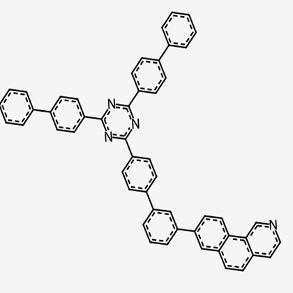 c1ccc(-c2ccc(-c3nc(-c4ccc(-c5ccccc5)cc4)nc(-c4ccc(-c5cccc(-c6ccc7c(ccc8ccncc87)c6)c5)cc4)n3)cc2)cc1